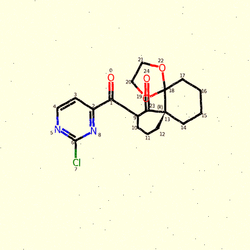 O=C(c1ccnc(Cl)n1)C1CCC[C@@]2(CCCCC23OCCO3)C1=O